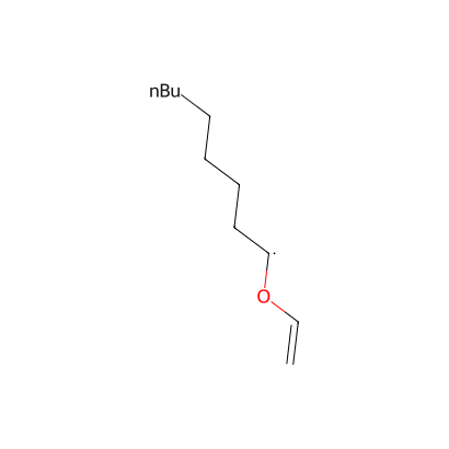 C=CO[CH]CCCCCCCC